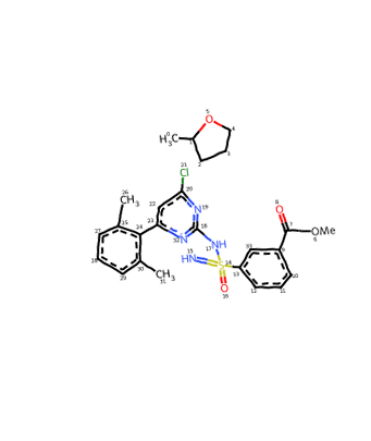 CC1CCCO1.COC(=O)c1cccc(S(=N)(=O)Nc2nc(Cl)cc(-c3c(C)cccc3C)n2)c1